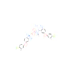 Cc1cc(Oc2ccc(N)c(CN(C(=O)OCc3nc4ccc(Oc5ccc(F)c(C)c5)cc4n3C)C(C)(C)C)c2)ccc1F